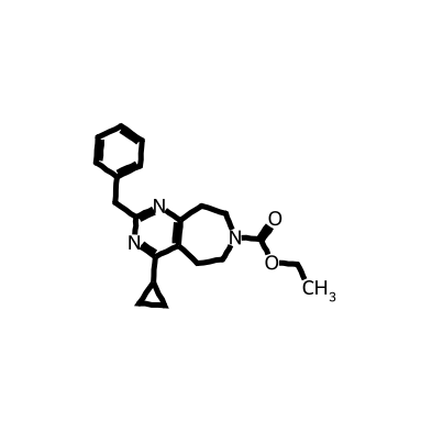 CCOC(=O)N1CCc2nc(Cc3ccccc3)nc(C3CC3)c2CC1